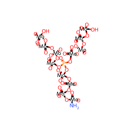 [NH2][Mo](=[O])(=[O])[O][Mo](=[O])(=[O])[O][Mo](=[O])(=[O])[O][Mo](=[O])(=[O])[O]P(=O)([O][Mo](=[O])(=[O])[O][Mo](=[O])(=[O])[O][Mo](=[O])(=[O])[O][Mo](=[O])(=[O])[OH])[O][Mo](=[O])(=[O])[O][Mo](=[O])(=[O])[O][Mo](=[O])(=[O])[O][Mo](=[O])(=[O])[OH]